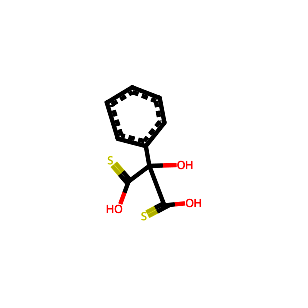 OC(=S)C(O)(C(O)=S)c1ccccc1